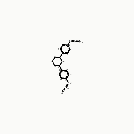 [N-]=[N+]=Nc1ccc(C2CCCC(c3ccc(N=[N+]=[N-])cc3)C2)cc1